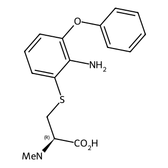 CN[C@@H](CSc1cccc(Oc2ccccc2)c1N)C(=O)O